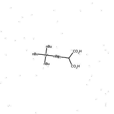 CCC(C(=O)O)C(=O)O.CCCC[N+](CCCC)(CCCC)CCCC